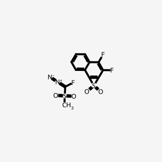 CS(=O)(=O)C(F)=[N+]=[N-].O=S1(=O)c2c(F)c(F)c3ccccc3c21